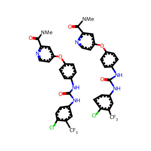 CNC(=O)c1cc(Oc2ccc(NC(=O)Nc3ccc(Cl)c(C(F)(F)F)c3)cc2)ccn1.CNC(=O)c1cc(Oc2ccc(NC(=O)Nc3ccc(Cl)c(C(F)(F)F)c3)cc2)ccn1